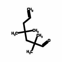 C=CCC(C)(C)CC(C)(C)C=O